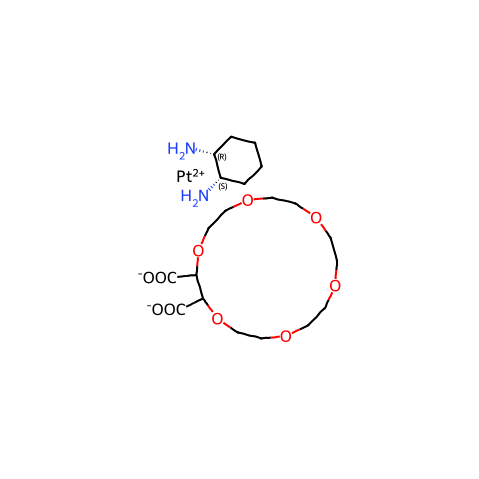 N[C@@H]1CCCC[C@@H]1N.O=C([O-])C1OCCOCCOCCOCCOCCOC1C(=O)[O-].[Pt+2]